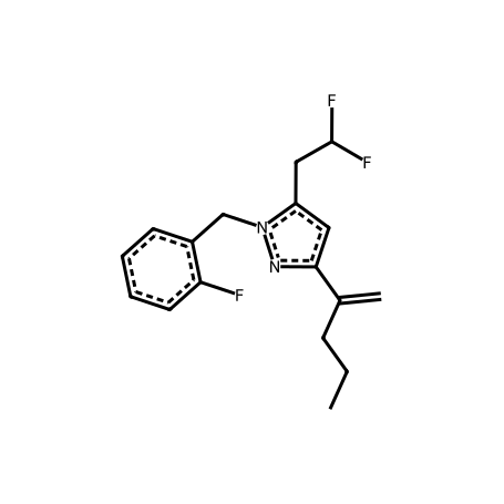 C=C(CCC)c1cc(CC(F)F)n(Cc2ccccc2F)n1